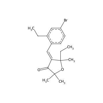 CCc1cc(Br)ccc1/C=C1/C(=O)C(C)(C)OC1(C)CC